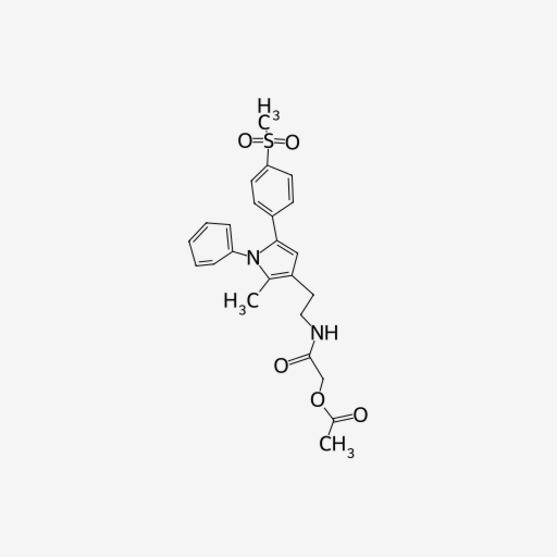 CC(=O)OCC(=O)NCCc1cc(-c2ccc(S(C)(=O)=O)cc2)n(-c2ccccc2)c1C